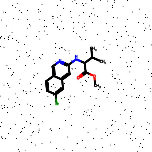 COC(=O)C(Nc1cc2cc(Br)ccc2cn1)C(C)C